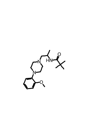 COc1ccccc1N1CCN(CC(C)NC(=O)C(C)(C)C)CC1